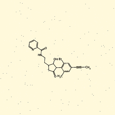 CC#Cc1cc(C)c(C2C(=O)CC(CCNC(=O)c3ccccn3)C2O)c(CC)c1